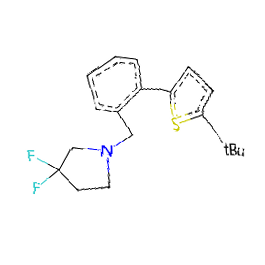 CC(C)(C)c1ccc(-c2ccccc2CN2CCC(F)(F)C2)s1